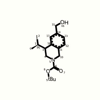 C[C@@H](I)C1CN(C(=O)OC(C)(C)C)Cc2ccc(CO)cc21